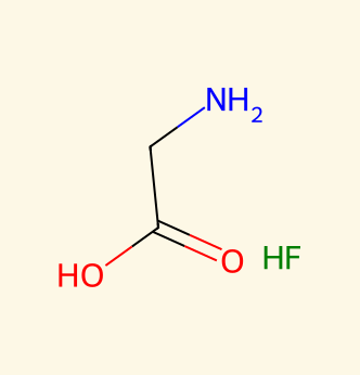 F.NCC(=O)O